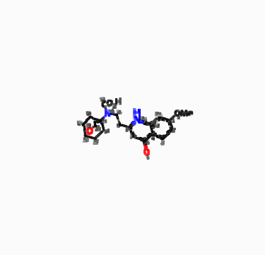 COc1ccc2c(=O)cc(CCN(C(=O)O)C34CCC(CC3)OC4)[nH]c2c1